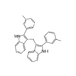 Cc1cccc(-c2[nH]c3ccccc3c2Cc2c(-c3cccc(C)c3)[nH]c3ccccc23)c1